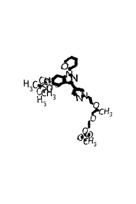 CC(COCCOS(C)(=O)=O)OCCn1cc(-c2nn(C3CCCCO3)c3ccc(O[Si](C)(C)C(C)(C)C)cc23)cn1